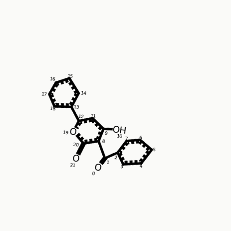 O=C(c1ccccc1)c1c(O)cc(-c2ccccc2)oc1=O